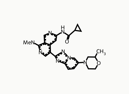 CNc1ncc(-c2nc3ccc(N4CCOC(C)C4)cn3n2)c2cc(NC(=O)C3CC3)ncc12